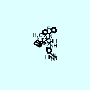 Cc1cccc2c1N(CC(=O)C13CC4CC(CC(C4)C1)C3)C(=O)C(NC(=O)Nc1cccc(-c3nnn[nH]3)c1)N=C2c1ccccc1F